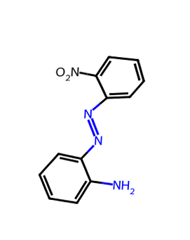 Nc1ccccc1N=Nc1ccccc1[N+](=O)[O-]